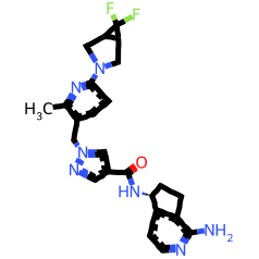 Cc1nc(N2CC3C(C2)C3(F)F)ccc1Cn1cc(C(=O)N[C@@H]2CCc3c2ccnc3N)cn1